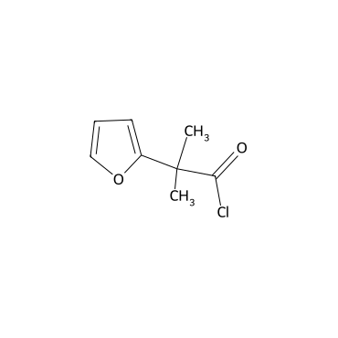 CC(C)(C(=O)Cl)c1ccco1